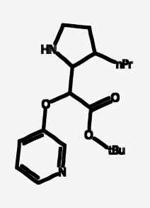 CCCC1CCNC1C(Oc1cccnc1)C(=O)OC(C)(C)C